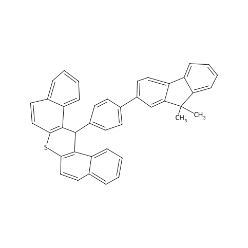 CC1(C)c2ccccc2-c2ccc(-c3ccc(C4c5c(ccc6ccccc56)Sc5ccc6ccccc6c54)cc3)cc21